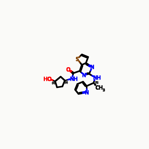 C[C@H](Nc1nc(C(=O)N[C@H]2CC[C@@H](O)C2)c2sccc2n1)c1ccccn1